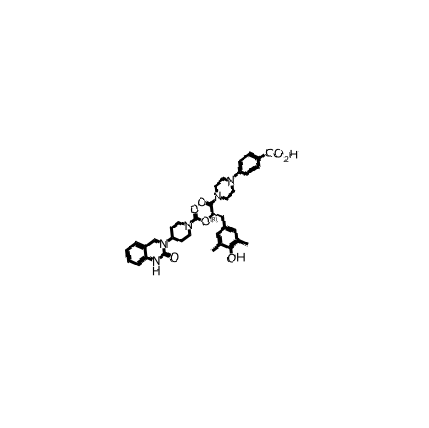 Cc1cc(C[C@@H](OC(=O)N2CCC(N3Cc4ccccc4NC3=O)CC2)C(=O)N2CCN(c3ccc(C(=O)O)cc3)CC2)cc(C)c1O